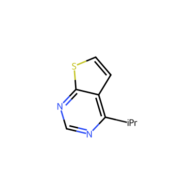 CC(C)c1ncnc2sccc12